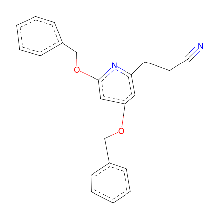 N#CCCc1cc(OCc2ccccc2)cc(OCc2ccccc2)n1